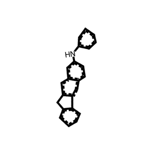 c1ccc(Nc2ccc3cc4c(cc3c2)Cc2ccccc2-4)cc1